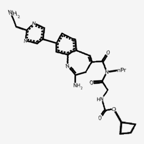 CCCN(C(=O)CNC(=O)OC1CCC1)C(=O)C1=Cc2ccc(-c3cnc(CN)nc3)cc2N=C(N)C1